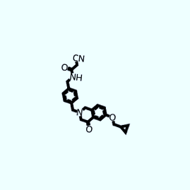 N#CCC(=O)NCc1ccc(CN2CC(=O)c3cc(OCC4CC4)ccc3C2)cc1